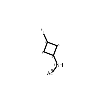 CC(=O)NC1CC(I)C1